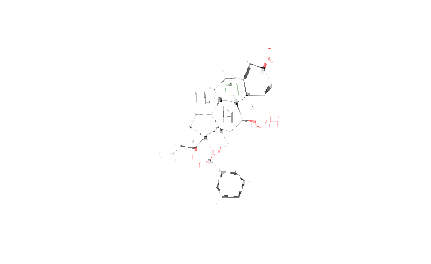 C[C@]12C=CC(=O)C=C1CC[C@H]1[C@@H]3CC[C@](OC(=O)c4ccccc4)(C(=O)CCl)[C@@]3(C)CC(O)[C@@]12Cl